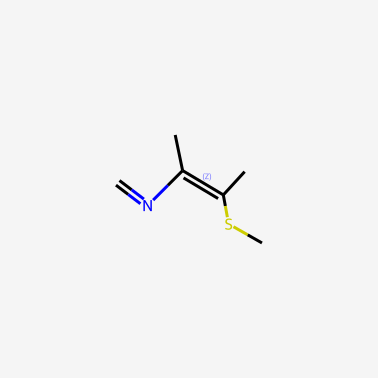 C=N/C(C)=C(/C)SC